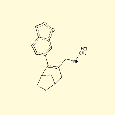 CNCC1=C(c2ccc3ccoc3c2)C2CCC(C1)C2.Cl